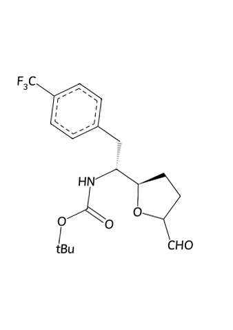 CC(C)(C)OC(=O)N[C@H](Cc1ccc(C(F)(F)F)cc1)[C@H]1CCC(C=O)O1